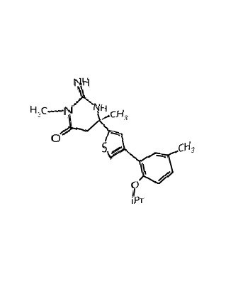 Cc1ccc(OC(C)C)c(-c2csc([C@]3(C)CC(=O)N(C)C(=N)N3)c2)c1